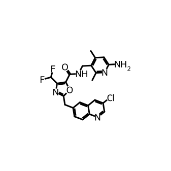 Cc1cc(N)nc(C)c1CNC(=O)c1oc(Cc2ccc3ncc(Cl)cc3c2)nc1C(F)F